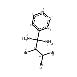 NC(N)(c1ccnnn1)C(Br)C(Br)Br